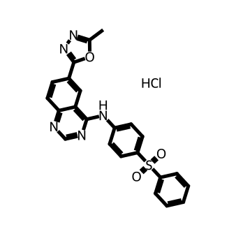 Cc1nnc(-c2ccc3ncnc(Nc4ccc(S(=O)(=O)c5ccccc5)cc4)c3c2)o1.Cl